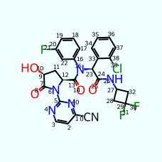 N#Cc1ccnc(N2C(=O)[C@@H](O)C[C@H]2C(=O)N(c2cccc(F)c2)[C@H](C(=O)NC2CC(F)(F)C2)c2ccccc2Cl)n1